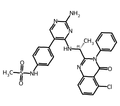 C[C@@H](Nc1nc(N)ncc1-c1ccc(NS(C)(=O)=O)cc1)c1nc2cccc(Cl)c2c(=O)n1-c1ccccc1